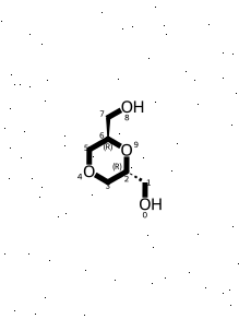 OC[C@@H]1COC[C@@H](CO)O1